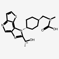 C[C@@H](O)c1nc2cnc3ccsc3c2n1[C@H]1CC[C@H](CN(C)C(=O)O)CC1